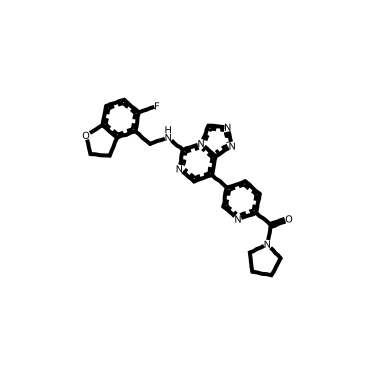 O=C(c1ccc(-c2cnc(NCc3c(F)ccc4c3CCO4)n3cnnc23)cn1)N1CCCC1